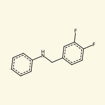 Fc1ccc(CNc2cc[c]cc2)cc1F